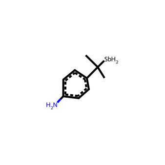 C[C](C)([SbH2])c1ccc(N)cc1